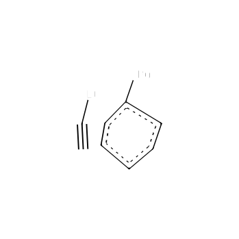 C#CCC.CC(C)(C)c1ccccc1